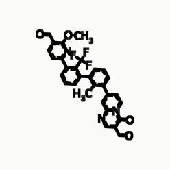 COc1nc(-c2cccc(-c3cccc(-c4ccn5c(=O)c(C=O)cnc5c4)c3C)c2C(F)(F)F)ccc1C=O